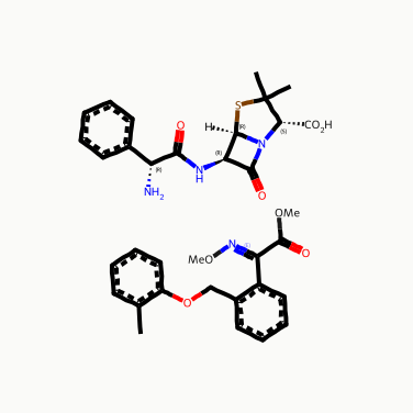 CC1(C)S[C@@H]2[C@H](NC(=O)[C@H](N)c3ccccc3)C(=O)N2[C@H]1C(=O)O.CO/N=C(/C(=O)OC)c1ccccc1COc1ccccc1C